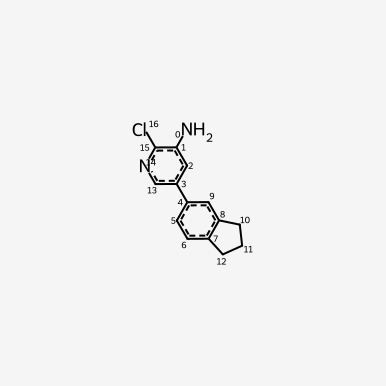 Nc1cc(-c2ccc3c(c2)CCC3)cnc1Cl